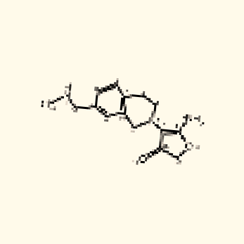 NC1=C(N2CCc3ccc(CNCl)cc3C2)C(=O)CO1